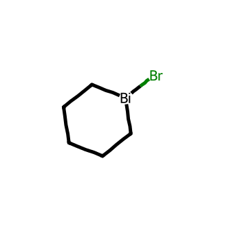 [Br][Bi]1[CH2]CCC[CH2]1